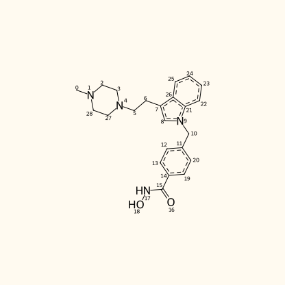 CN1CCN(CCc2cn(Cc3ccc(C(=O)NO)cc3)c3ccccc23)CC1